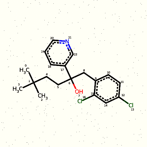 CC(C)(C)CCC(O)(Cc1ccc(Cl)cc1Cl)c1cccnc1